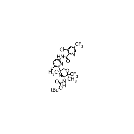 CC(C)(C)OC(=O)NC1=N[C@](C)(c2nc(NC(=O)c3ncc(C(F)(F)F)cc3Cl)ccc2F)CO[C@@]1(C)C(F)(F)F